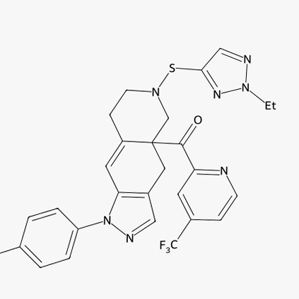 CCn1ncc(SN2CCC3=Cc4c(cnn4-c4ccc(F)cc4)CC3(C(=O)c3cc(C(F)(F)F)ccn3)C2)n1